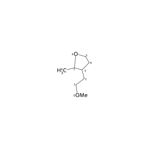 COCCC1CCOC1C